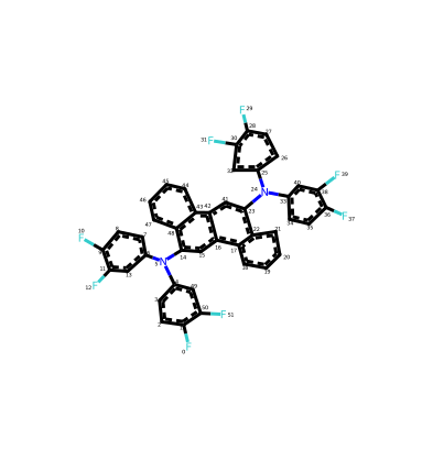 Fc1ccc(N(c2ccc(F)c(F)c2)c2cc3c4ccccc4c(N(c4ccc(F)c(F)c4)c4ccc(F)c(F)c4)cc3c3ccccc23)cc1F